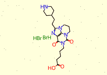 Br.Br.O=C(O)CCCCn1c(=O)c2nc(CCC3CCNCC3)n3c2n(c1=O)CCC3